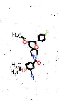 CCO[C@@H]1C[C@H](c2ccc(F)cc2)OC2(CCN(C(=O)c3ccc(OC(C)C)c(C#N)c3)CC2)C1